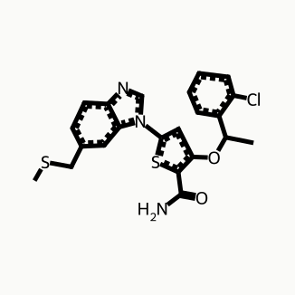 CSCc1ccc2ncn(-c3cc(OC(C)c4ccccc4Cl)c(C(N)=O)s3)c2c1